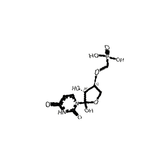 O=c1ccn(C2(O)OC[C@H](OCP(=O)(O)O)[C@H]2O)c(=O)[nH]1